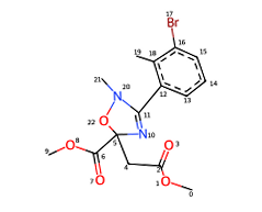 COC(=O)CC1(C(=O)OC)N=C(c2cccc(Br)c2C)N(C)O1